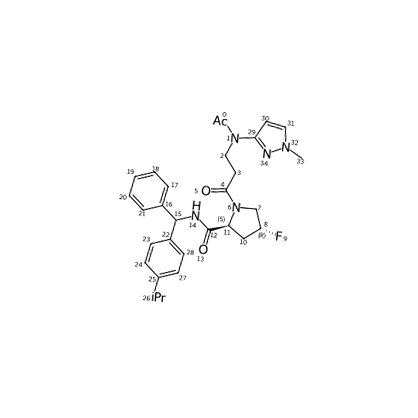 CC(=O)N(CCC(=O)N1C[C@H](F)C[C@H]1C(=O)NC(c1ccccc1)c1ccc(C(C)C)cc1)c1ccn(C)n1